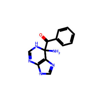 NC1(C(=O)c2ccccc2)NC=NC2=C1N=C[N]2